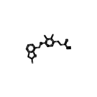 Cc1c(CCC(=O)O)ccc(OCc2cccc3c2OC(C)C3)c1C